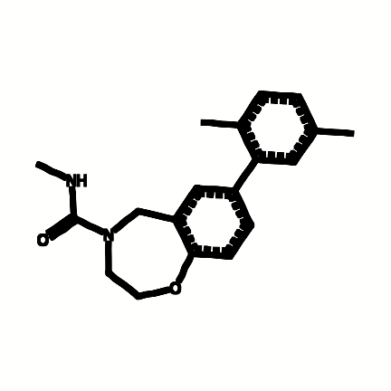 CNC(=O)N1CCOc2ccc(-c3cc(C)ccc3C)cc2C1